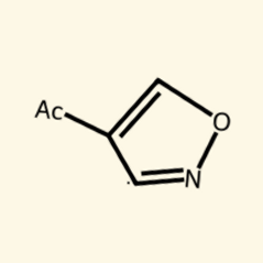 CC(=O)c1[c]noc1